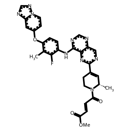 COC(=O)/C=C/C(=O)N1CCC(c2ncc3ncnc(Nc4ccc(Oc5ccn6ncnc6c5)c(C)c4F)c3n2)=C[C@@H]1C